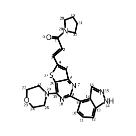 O=C(/C=C/c1cc2nc(-c3cccc4[nH]ncc34)nc(N3CCOCC3)c2s1)N1CCCC1